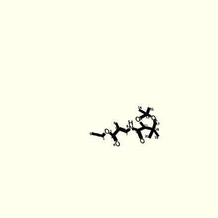 CCOC(=O)/C(C)=C/NC(=O)C1OC(C)(C)OCC1(C)C